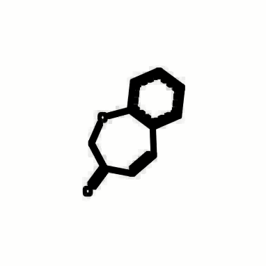 O=C1C=Cc2ccccc2OC1